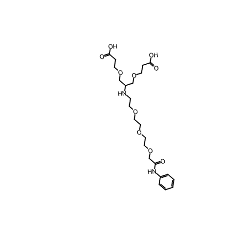 O=C(O)CCOCC(COCCC(=O)O)NCCOCCOCCOCC(=O)Nc1ccccc1